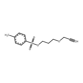 C#CCOCCCOS(=O)(=O)c1ccc(C)cc1